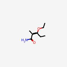 CCO/C(CC)=C(\C)C(N)=O